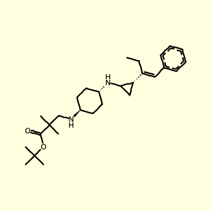 CC/C(=C\c1ccccc1)[C@@H]1CC1N[C@H]1CC[C@H](NCC(C)(C)C(=O)OC(C)(C)C)CC1